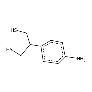 Nc1ccc(C(CS)CS)cc1